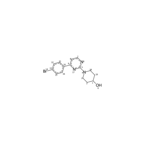 OC1CCN(c2nccc(-c3ccc(Br)cc3)n2)CC1